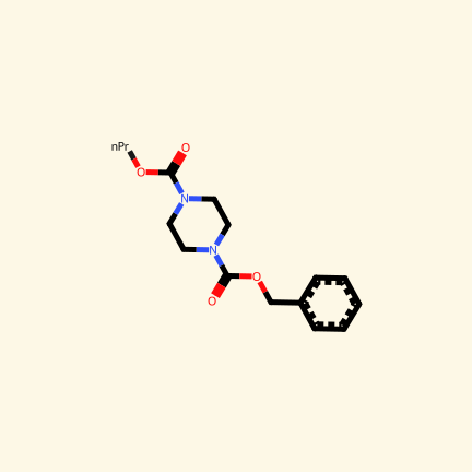 CCCOC(=O)N1CCN(C(=O)OCc2ccccc2)CC1